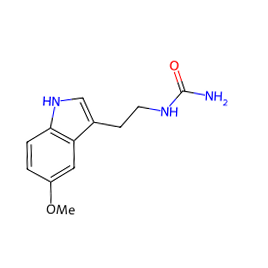 COc1ccc2[nH]cc(CCNC(N)=O)c2c1